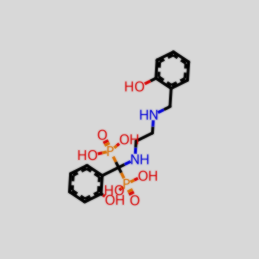 O=P(O)(O)C(NCCNCc1ccccc1O)(c1ccccc1O)P(=O)(O)O